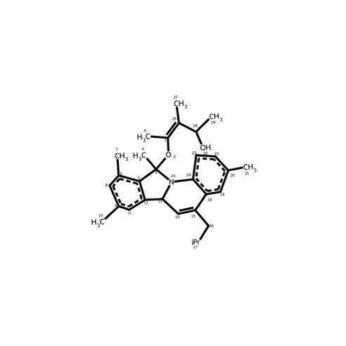 C/C(OC1(C)c2c(C)cc(C)cc2C2C=C(CC(C)C)c3cc(C)ccc3N21)=C(\C)C(C)O